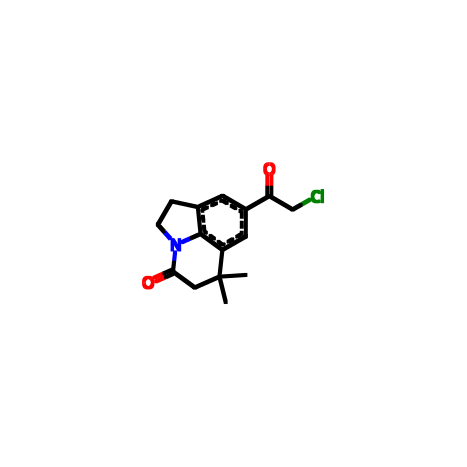 CC1(C)CC(=O)N2CCc3cc(C(=O)CCl)cc1c32